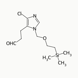 C[Si](C)(C)CCOCn1cnc(Cl)c1CCC=O